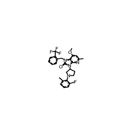 COc1cc(C)nc2c1n(Cc1ccccc1C(F)(F)F)c(=O)n2C1CCN(c2c(C)cccc2F)C1